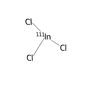 [Cl][111In]([Cl])[Cl]